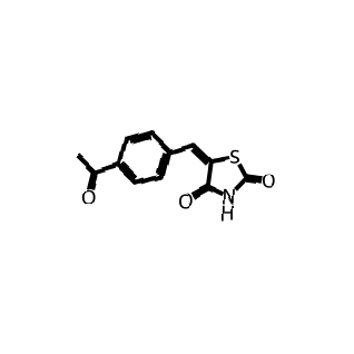 CC(=O)c1ccc(C=C2SC(=O)NC2=O)cc1